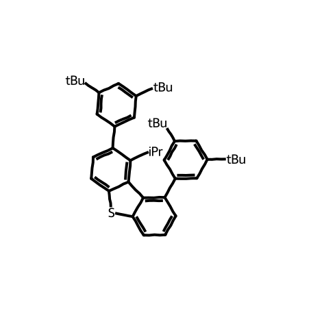 CC(C)c1c(-c2cc(C(C)(C)C)cc(C(C)(C)C)c2)ccc2sc3cccc(-c4cc(C(C)(C)C)cc(C(C)(C)C)c4)c3c12